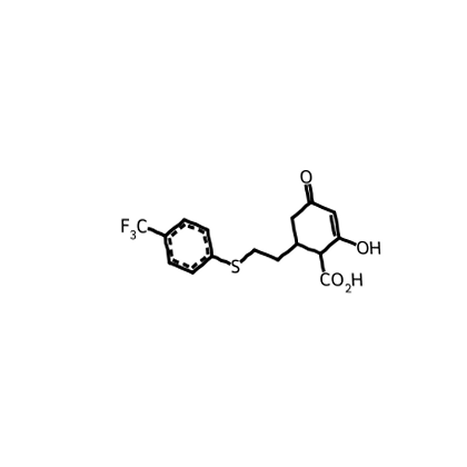 O=C1C=C(O)C(C(=O)O)C(CCSc2ccc(C(F)(F)F)cc2)C1